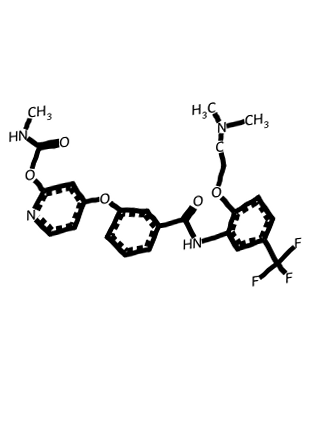 CNC(=O)Oc1cc(Oc2cccc(C(=O)Nc3cc(C(F)(F)F)ccc3OCCN(C)C)c2)ccn1